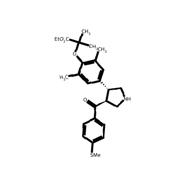 CCOC(=O)C(C)(C)Oc1c(C)cc([C@@H]2CNC[C@H]2C(=O)c2ccc(SC)cc2)cc1C